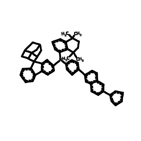 CC1(C)CCC(C)(C)c2c(N(c3ccc(-c4ccc5cc(-c6ccccc6)ccc5c4)cc3)c3ccc4c(c3)C3(c5ccccc5-4)C4CC5CC6CC3C64C5)cccc21